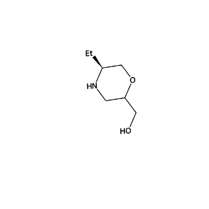 CC[C@H]1COC(CO)CN1